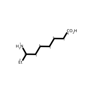 CCC(N)CCCCCC(=O)O